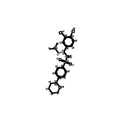 CN(C)C[C@@H](NS(=O)(=O)c1ccc([C@@H]2CCCCO2)cc1)c1ccc(Cl)c(Cl)c1